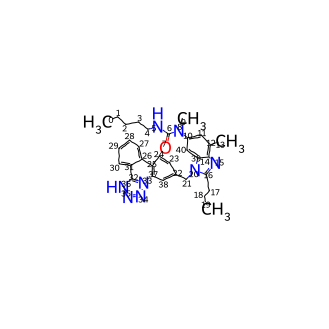 CCCCCNC(=O)N(C)c1cc(C)c2nc(CCC)n(Cc3ccc(-c4ccccc4-c4nnn[nH]4)cc3)c2c1